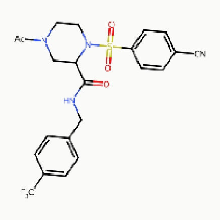 CC(=O)N1CCN(S(=O)(=O)c2ccc(C#N)cc2)C(C(=O)NCc2ccc(C(F)(F)F)cc2)C1